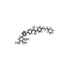 O=C(Nc1ccc(-c2cn([C@@H]3OC[C@@H](O)[C@H](O)[C@H]3O)nn2)cc1)c1ccc(OCCN2CCCCC2)cc1